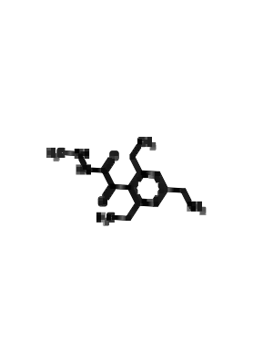 CCc1cc(CN)cc(CC)c1C(=O)C(=O)NNC